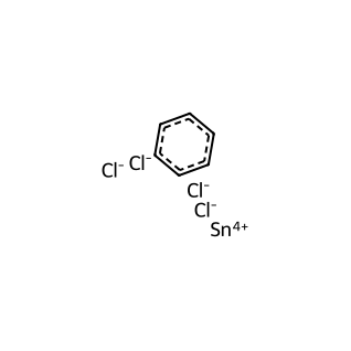 [Cl-].[Cl-].[Cl-].[Cl-].[Sn+4].c1ccccc1